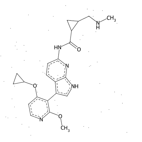 CNCC1CC1C(=O)Nc1ccc2c(-c3c(OC4CC4)ccnc3OC)c[nH]c2n1